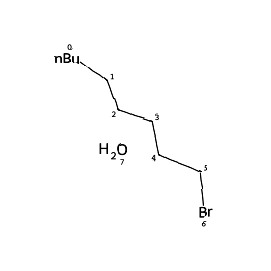 CCCCCCCCCBr.O